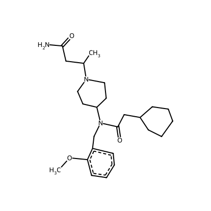 COc1ccccc1CN(C(=O)CC1CCCCC1)C1CCN(C(C)CC(N)=O)CC1